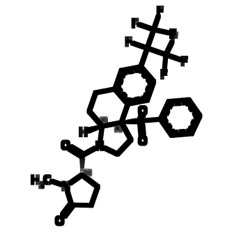 CN1C(=O)CC[C@H]1C(=O)N1CC[C@@]2(S(=O)(=O)c3ccccc3)c3ccc(C(F)(C(F)(F)F)C(F)(F)F)cc3CC[C@@H]12